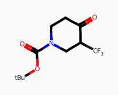 CC(C)(C)OC(=O)N1CCC(=O)C(C(F)(F)F)C1